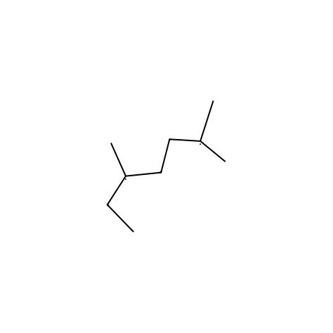 CC[C](C)CC[C](C)C